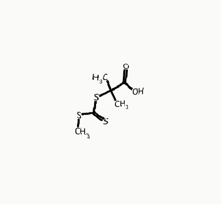 CSC(=S)SC(C)(C)C(=O)O